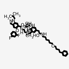 CC(C)Cn1ncc2cc(Oc3ccc(F)cc3F)c(C(=O)NCC[N+](C)(C)Cc3cc(CC(O)NCCCCCCOCCCCc4ccccc4)ccc3OP(=O)(O)O)cc21